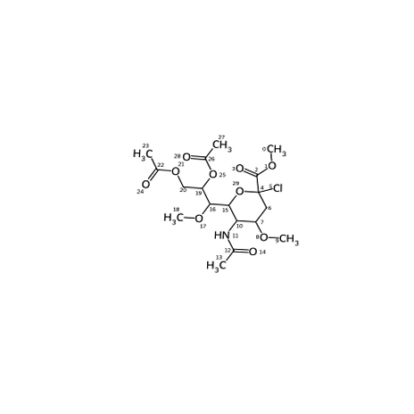 COC(=O)C1(Cl)CC(OC)C(NC(C)=O)C(C(OC)C(COC(C)=O)OC(C)=O)O1